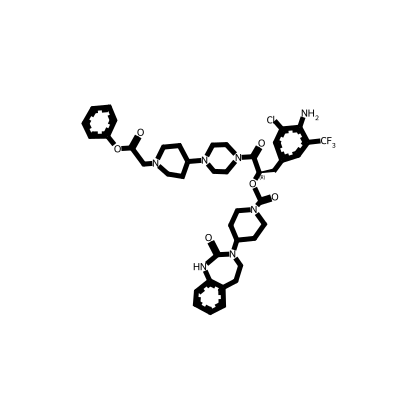 Nc1c(Cl)cc(C[C@@H](OC(=O)N2CCC(N3CCc4ccccc4NC3=O)CC2)C(=O)N2CCN(C3CCN(CC(=O)Oc4ccccc4)CC3)CC2)cc1C(F)(F)F